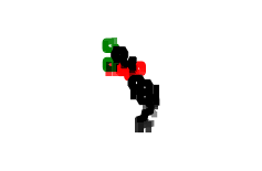 C=C(C(=O)O[C@H]1CC[C@@]2(C)C(=CC[C@H]3[C@@H]4CC[C@H]([C@H](C)CCCC(C)C)[C@@]4(C)CC[C@@H]32)C1)C(O)c1ccc(Cl)cc1Cl